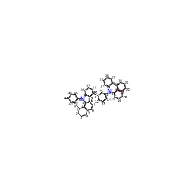 CC1CC=Cc2ccc3c4c(-c5cccc(N(c6ccccc6)c6ccccc6-c6ccccc6)c5)cccc4n(-c4ccccc4)c3c21